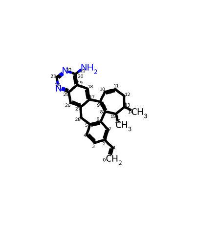 C=Cc1ccc2c(c1)C1=C(C=CCC(C)C1C)c1cc3c(N)ncnc3cc1C2